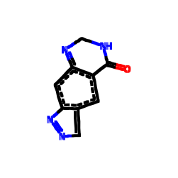 O=C1NCN=c2cc3c(cc21)=CN=N3